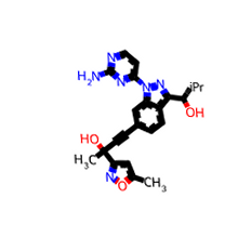 Cc1cc(C(C)(O)C#Cc2ccc3c(C(O)C(C)C)nn(-c4ccnc(N)n4)c3c2)no1